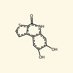 O=c1[nH]c2cc(O)c(O)cc2c2ccsc12